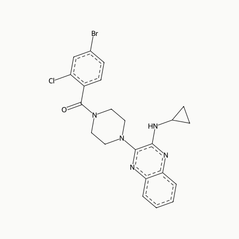 O=C(c1ccc(Br)cc1Cl)N1CCN(c2nc3ccccc3nc2NC2CC2)CC1